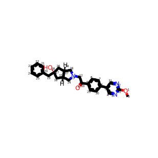 COc1ncc(-c2ccc(C(=O)CN3C[C@@H]4C[C@@](O)(Cc5ccccc5)C[C@@H]4C3)cc2)cn1